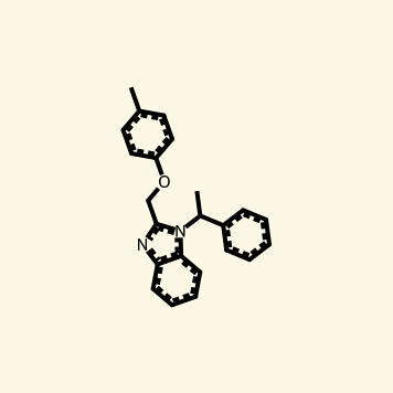 Cc1ccc(OCc2nc3ccccc3n2C(C)c2ccccc2)cc1